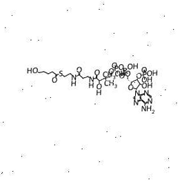 CC(C)(COP(=O)(O)OP(=O)(O)OC[C@H]1O[C@@H](n2cnc3c(N)ncnc32)[C@H](O)[C@@H]1OP(=O)(O)O)C(O)C(=O)NCCC(=O)NCCSC(=O)CCCCO